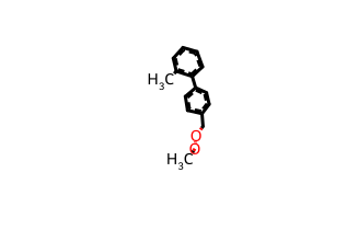 COOCc1ccc(-c2ccccc2C)cc1